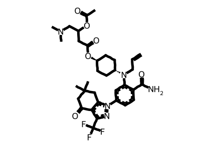 C=CCN(c1cc(-n2nc(C(F)(F)F)c3c2CC(C)(C)CC3=O)ccc1C(N)=O)[C@H]1CC[C@H](OC(=O)CC(CN(C)C)OC(C)=O)CC1